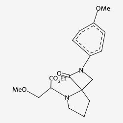 CCOC(=O)C(COC)N1CCCC12CN(c1ccc(OC)cc1)C2=O